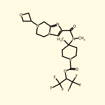 CN(C(=O)c1cn2c(n1)CN(C1COC1)CC2)C1(C)CCN(C(=O)OC(C(F)(F)F)C(F)(F)F)CC1